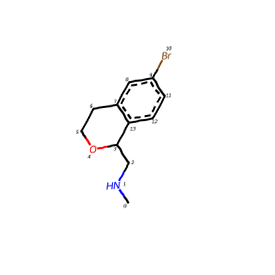 CNCC1OCCc2cc(Br)ccc21